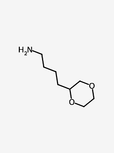 NCCCCC1COCCO1